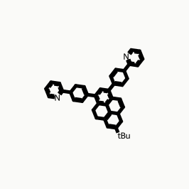 CC(C)(C)C1=CC2=C3c4c(c(C5=CCC(c6ccccn6)C=C5)cc(C5=CCC(c6ccccn6)C=C5)c4CC2)C=CC3C1